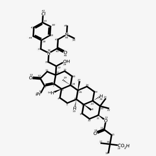 CC(C)C1=C2[C@H]3CC[C@@H]4[C@@]5(C)CC[C@H](OC(=O)CC(C)(C)C(=O)O)C(C)(C)[C@@H]5CC[C@@]4(C)[C@]3(C)CCC2(C(O)CN(Cc2ccc(Cl)cc2)C(=O)CN(C)C)CC1=O